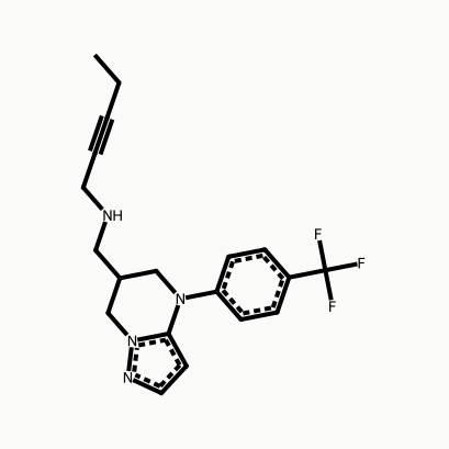 CCC#CCNCC1CN(c2ccc(C(F)(F)F)cc2)c2ccnn2C1